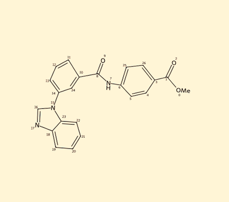 COC(=O)c1ccc(NC(=O)c2cccc(-n3cnc4ccccc43)c2)cc1